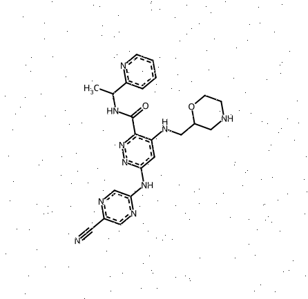 CC(NC(=O)c1nnc(Nc2cnc(C#N)cn2)cc1NCC1CNCCO1)c1ccccn1